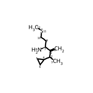 C=C(C(C)C1CC1)[C@@H](N)CCSC